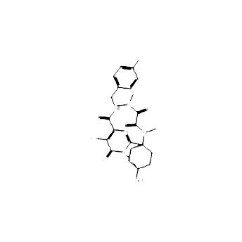 CN(C)C(=O)C(=O)N(C)C12CCC(O)(CC1)Cn1c2nc(C(=O)NCc2ccc(F)cc2)c(O)c1=O